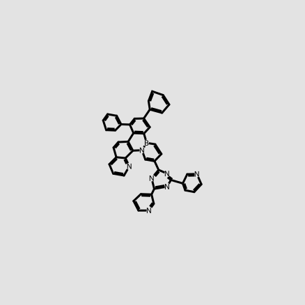 C1=CC(c2nc(-c3cccnc3)nc(-c3cccnc3)n2)=CN2B1c1cc(-c3ccccc3)cc(-c3ccccc3)c1-c1ccc3cccnc3c12